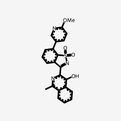 COc1ccc(-c2cccc3c2S(=O)(=O)N=C3c2nc(C)c3ccccc3c2O)cn1